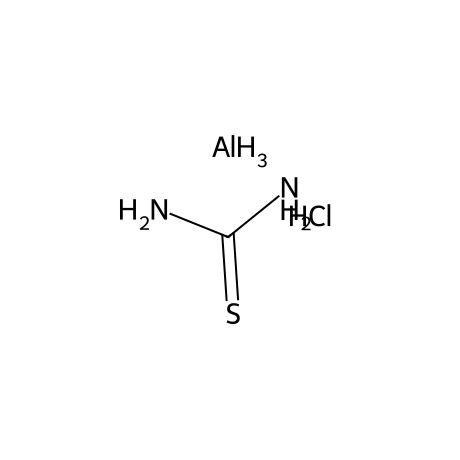 Cl.NC(N)=S.[AlH3]